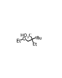 CCOCC(CC)(C(=O)O)C(C)(C)C